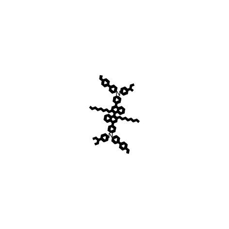 C=Cc1ccc(-c2ccc(N(c3ccc(-c4cc(CCCCCCCC)c(-c5c(CCCCCCCC)cc(-c6ccc(N(c7ccc(-c8ccc(C=C)cc8)cc7)c7ccc(C(CC)CC)cc7)cc6)c6ccccc56)c5ccccc45)cc3)c3ccc(C(C)CC)cc3)cc2)cc1